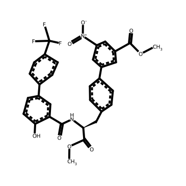 COC(=O)c1cc(-c2ccc(C[C@H](NC(=O)c3cc(-c4ccc(C(F)(F)F)cc4)ccc3O)C(=O)OC)cc2)cc([N+](=O)[O-])c1